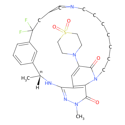 C[C@H]1Nc2nn(C)c(=O)c3c2cc(N2CCS(=O)(=O)CC2)c(=O)n3CCCCCCCN2CC(C2)CC(F)(F)c2cccc1c2